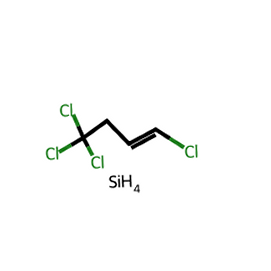 ClC=CCC(Cl)(Cl)Cl.[SiH4]